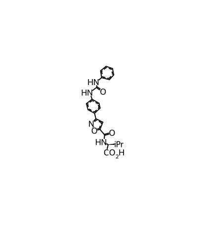 CC(C)[C@H](NC(=O)c1cc(-c2ccc(NC(=O)Nc3ccccc3)cc2)no1)C(=O)O